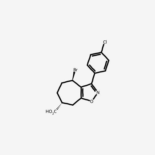 O=C(O)[C@@H]1CC[C@@H](Br)c2c(-c3ccc(Cl)cc3)noc2C1